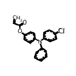 C=CC(=O)Oc1ccc(N(c2ccccc2)c2ccc(Cl)cc2)cc1